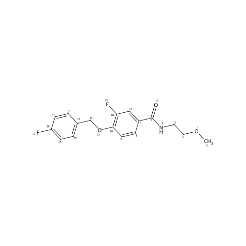 COCCNC(=O)c1ccc(OCc2ccc(F)cc2)c(F)c1